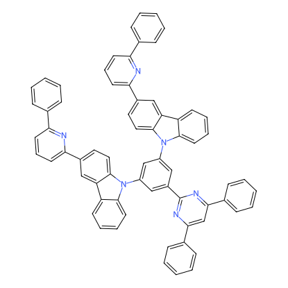 c1ccc(-c2cccc(-c3ccc4c(c3)c3ccccc3n4-c3cc(-c4nc(-c5ccccc5)cc(-c5ccccc5)n4)cc(-n4c5ccccc5c5cc(-c6cccc(-c7ccccc7)n6)ccc54)c3)n2)cc1